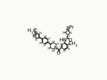 CCCN1CC(C(=O)Nc2cc(C(=O)N3CCC(c4ccc(-c5cnn(C)c5)cc4)CC3)ccc2C)C1